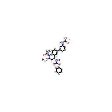 CC(=O)Nc1cccc(-c2ccc3c(c2)[C@H](NC(=O)Cc2ccccc2)C[C@H](C)N3C(C)=O)c1